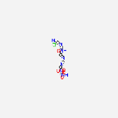 CN(c1ccc(C#N)c(Cl)c1)[C@H]1CC[C@H](NC(=O)c2ccc3c(c2)CN(CC2CCN(c4ccc5c(c4)C(=O)N(C4CCC(=O)NC4=O)C5=O)CC2)C3)CC1